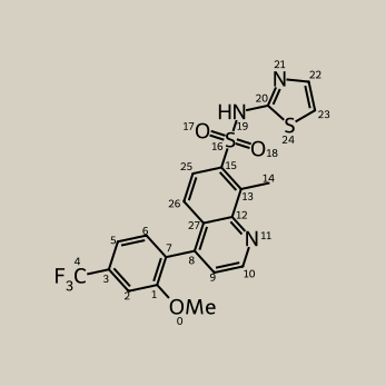 COc1cc(C(F)(F)F)ccc1-c1ccnc2c(C)c(S(=O)(=O)Nc3nccs3)ccc12